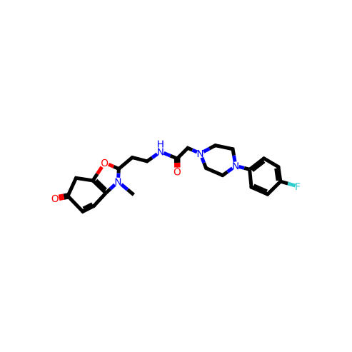 CN1C2=C(CC(=O)C=C2)OC1CCNC(=O)CN1CCN(c2ccc(F)cc2)CC1